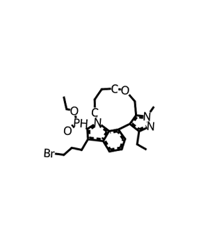 CCO[PH](=O)c1c(CCCBr)c2cccc3c2n1CCCCOCc1c-3c(CC)nn1C